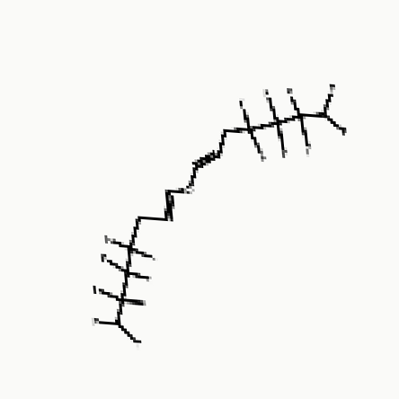 FC(F)C(F)(F)C(F)(F)C(F)(F)CC=COC=CCC(F)(F)C(F)(F)C(F)(F)C(F)F